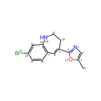 Cc1cnc(C2=Cc3ccc(Br)cc3NCC2)o1